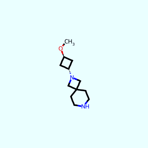 CO[C@H]1C[C@H](N2CC3(CCNCC3)C2)C1